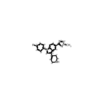 Cn1nnc(-c2ccc3c(c2)c(C2=CCNCC2)cn3-c2ccc(F)cc2)n1